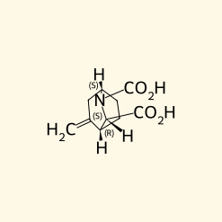 C=C1C[C@@H]2CC[C@H]1[C@@H](C(=O)O)N2C(=O)O